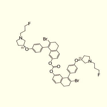 O=C(Oc1ccc2c(c1)C(c1ccc(O[C@H]3CCN(CCCF)C3)cc1)=C(Br)CC2)Oc1ccc2c(c1)C(c1ccc(O[C@H]3CCN(CCCF)C3)cc1)=C(Br)CC2